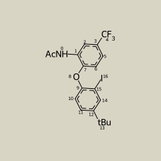 CC(=O)Nc1cc(C(F)(F)F)ccc1Oc1ccc(C(C)(C)C)cc1I